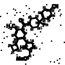 COCc1ncc(-c2cc(C(=O)N3CCC(F)(c4ccc(C#N)cc4)CC3)c(C)cc2C2CCC2)[nH]1